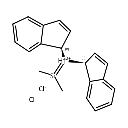 C[Si](C)=[Hf+2]([C@@H]1C=Cc2ccccc21)[C@H]1C=Cc2ccccc21.[Cl-].[Cl-]